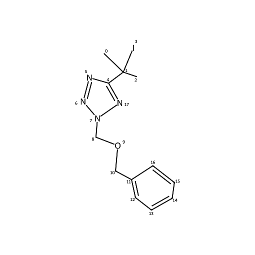 CC(C)(I)c1nnn(COCc2ccccc2)n1